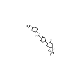 Cc1ccc(CNc2ccc(-c3cc4c(cc3Cl)OC(F)(F)O4)cn2)cn1